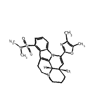 CC[C@@]12C=C(c3nc(C)c(C)o3)n3c4c(c5c(S(=O)(=O)N(C)C)cccc53)CCN(CCC1)[C@H]42